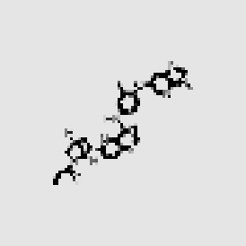 C=CC(=O)N1C[C@H]2C[C@@H]1[C@H](c1ccc3ncnc(Nc4ccc(Oc5cnc6c(c5)ncn6C)c(C)c4)c3n1)C2